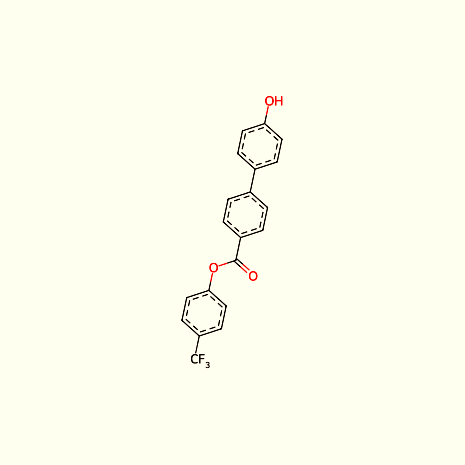 O=C(Oc1ccc(C(F)(F)F)cc1)c1ccc(-c2ccc(O)cc2)cc1